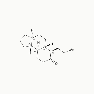 CC(=O)CC[C@H]1C(=O)CC[C@H]2[C@@H]3CCC[C@H]3CC[C@@H]21